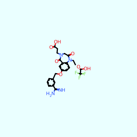 CCN1C(=O)CN(CCC(=O)O)C(=O)c2cc(OCc3cccc(C(=N)N)c3)ccc21.O=C(O)C(F)(F)F